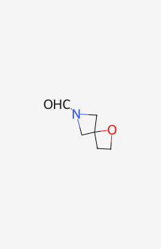 O=CN1CC2(CCO2)C1